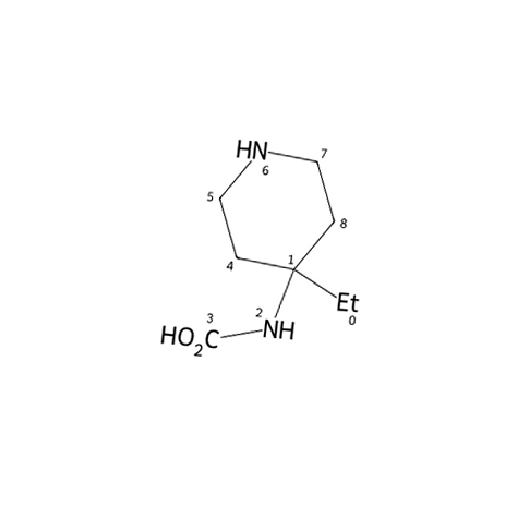 CCC1(NC(=O)O)CCNCC1